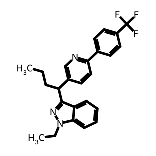 CCCC(c1ccc(-c2ccc(C(F)(F)F)cc2)nc1)c1nn(CC)c2ccccc12